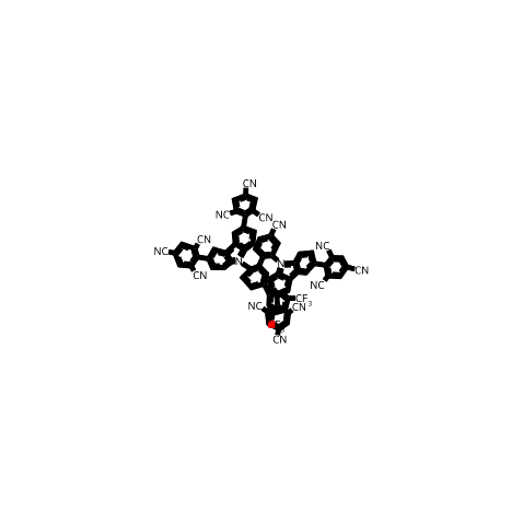 N#Cc1cc(C#N)c(-c2ccc3c(c2)c2cc(-c4c(C#N)cc(C#N)cc4C#N)ccc2n3-c2ccc(-c3cc(C(F)(F)F)cc(C(F)(F)F)c3)cc2-c2ccc(C#N)cc2-n2c3ccc(-c4c(C#N)cc(C#N)cc4C#N)cc3c3cc(-c4c(C#N)cc(C#N)cc4C#N)ccc32)c(C#N)c1